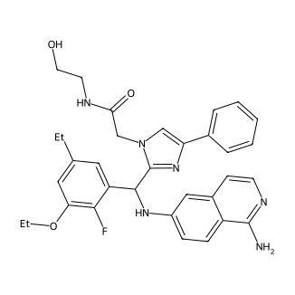 CCOc1cc(CC)cc(C(Nc2ccc3c(N)nccc3c2)c2nc(-c3ccccc3)cn2CC(=O)NCCO)c1F